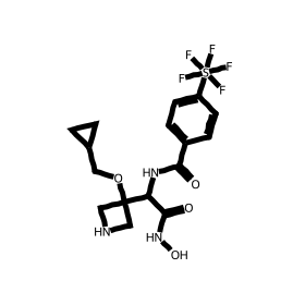 O=C(NC(C(=O)NO)C1(OCC2CC2)CNC1)c1ccc(S(F)(F)(F)(F)F)cc1